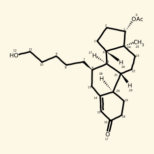 CC(=O)O[C@H]1CC[C@H]2[C@@H]3[C@H](CCCCCO)CC4=CC(=O)CC[C@@H]4[C@H]3CC[C@]12C